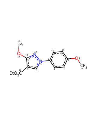 CCOC(=O)c1cn(-c2ccc(OC(F)(F)F)cc2)nc1OC(C)C